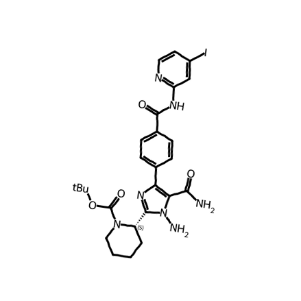 CC(C)(C)OC(=O)N1CCCC[C@H]1c1nc(-c2ccc(C(=O)Nc3cc(I)ccn3)cc2)c(C(N)=O)n1N